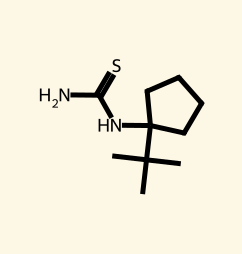 CC(C)(C)C1(NC(N)=S)CCCC1